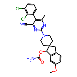 COc1ccc2c(c1)[C@@H](OC(N)=O)C1(CCN(c3nc(C)c(-c4cccc(Cl)c4Cl)c(C#N)n3)CC1)C2